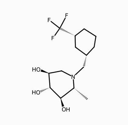 C[C@@H]1[C@@H](O)[C@H](O)[C@@H](O)CN1C[C@H]1CCC[C@@H](C(F)(F)F)C1